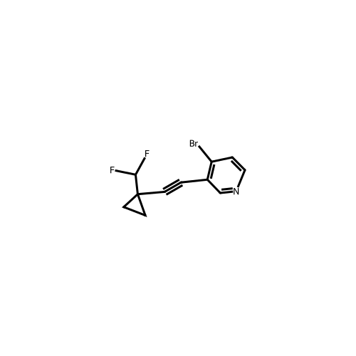 FC(F)C1(C#Cc2cnccc2Br)CC1